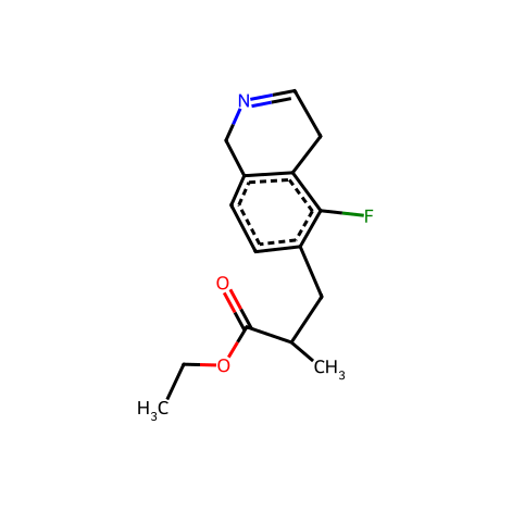 CCOC(=O)C(C)Cc1ccc2c(c1F)CC=NC2